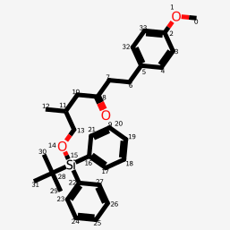 COc1ccc(CCC(=O)CC(C)CO[Si](c2ccccc2)(c2ccccc2)C(C)(C)C)cc1